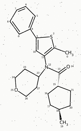 Cc1sc(-c2ccccc2)cc1N(C(=O)[C@H]1CC[C@H](C)CC1)C1CCOCC1